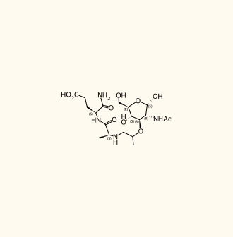 CC(=O)N[C@@H]1[C@@H](OC(C)CN[C@@H](C)C(=O)N[C@@H](CCC(=O)O)C(N)=O)[C@H](O)[C@@H](CO)O[C@@H]1O